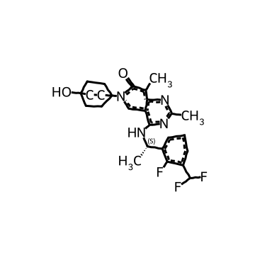 Cc1nc(N[C@@H](C)c2cccc(C(F)F)c2F)c2cn(C34CCC(O)(CC3)CC4)c(=O)c(C)c2n1